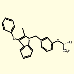 CC[C@@H](Oc1cccc(Cn2c(C)c(Sc3ccccc3)c3ccccc32)c1)C(=O)O